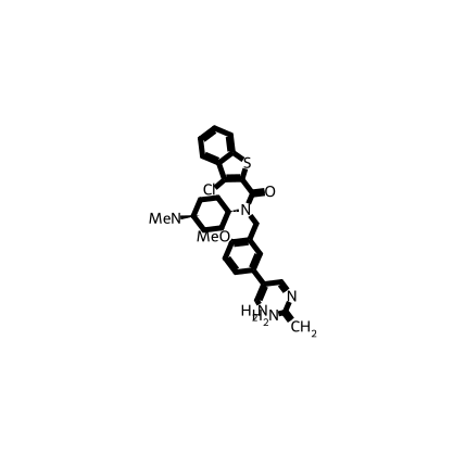 C=C(N)/N=C\C(=C/N)c1ccc(OC)c(CN(C(=O)c2sc3ccccc3c2Cl)[C@H]2CC[C@H](NC)CC2)c1